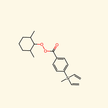 C=C[Si](C)(C=C)c1ccc(C(=O)OO[C]2C(C)CCCC2C)cc1